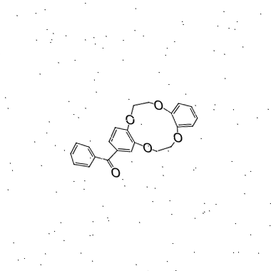 O=C(c1ccccc1)c1ccc2c(c1)OCCOc1ccccc1OCCO2